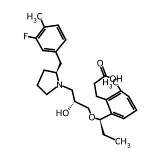 CC[C@@H](OC[C@H](O)CN1CCC[C@H]1Cc1ccc(C)c(F)c1)c1cccc(C)c1CCC(=O)O